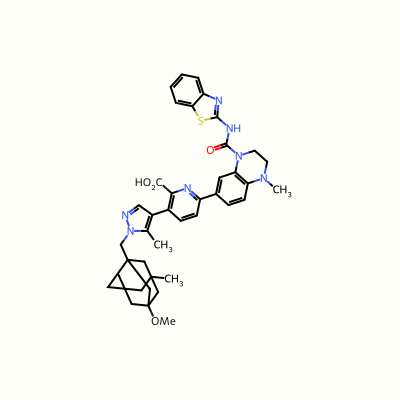 COC12CC3(C)CC4(CC4C(Cn4ncc(-c5ccc(-c6ccc7c(c6)N(C(=O)Nc6nc8ccccc8s6)CCN7C)nc5C(=O)O)c4C)(C3)C1)C2